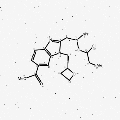 CCCN(Cc1nc2ccc(C(=O)OC)cc2n1C[C@@H]1CCO1)OC(Cl)CNC